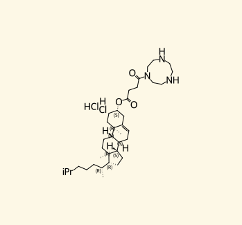 CC(C)CCC[C@@H](C)[C@H]1CC[C@H]2[C@@H]3CC=C4C[C@@H](OC(=O)CCC(=O)N5CCNCCNCC5)CC[C@]4(C)[C@H]3CC[C@]12C.Cl.Cl